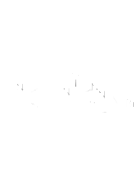 CC1c2cc(N3CCCCC3)ccc2CCN1C(=O)c1cc2ccc(Br)cn2n1